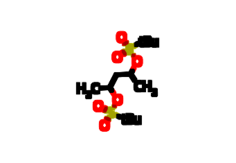 CC(CC(C)OS(=O)(=O)C(C)(C)C)OS(=O)(=O)C(C)(C)C